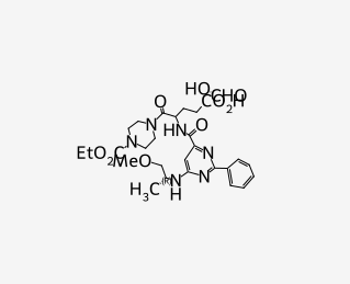 CCOC(=O)N1CCN(C(=O)C(CCC(=O)O)NC(=O)c2cc(N[C@H](C)COC)nc(-c3ccccc3)n2)CC1.O=CO